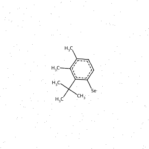 Cc1ccc([Se])c(C(C)(C)C)c1C